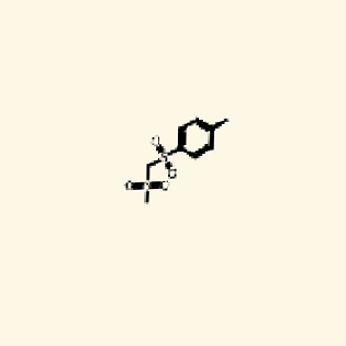 Cc1ccc(S(=O)(=O)CS(C)(=O)=O)cc1